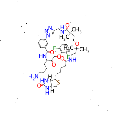 CC(C)(CCNC(=O)CCCC[C@@H]1SC[C@@H]2NC(=O)N[C@@H]21)OCCC(C)(C)C(=O)NCc1cn(-c2cccc(C(=O)NC(CCCCN)C(=O)COc3c(F)cccc3F)c2)nn1